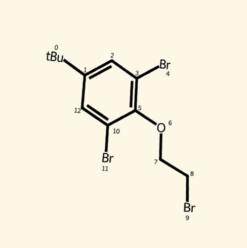 CC(C)(C)c1cc(Br)c(OCCBr)c(Br)c1